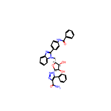 NC(=O)c1nnn([C@@H]2O[C@H](Cn3c(-c4ccc(NC(=O)c5ccccc5)cc4)nc4ccccc43)[C@@H](O)C2O)c1-c1ccccc1